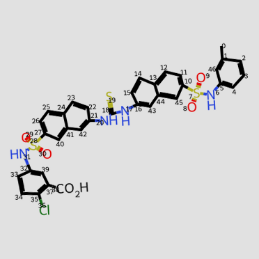 Cc1cccc(NS(=O)(=O)c2ccc3ccc(NC(=S)Nc4ccc5ccc(S(=O)(=O)Nc6ccc(Cl)c(C(=O)O)c6)cc5c4)cc3c2)c1